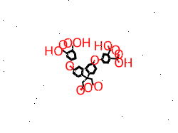 O=C1CC(c2ccc(Oc3ccc(C(=O)O)c(C(=O)O)c3)cc2)(c2ccc(Oc3ccc(C(=O)O)c(C(=O)O)c3)cc2)CC(=O)O1